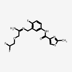 Cc1nc(C(=O)Nc2ccc(F)c(C/N=C(/N)COCC(F)F)c2)cs1